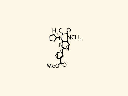 COC(=O)c1cn(-c2ncc3c(n2)N(C2CCCC2)C(C)C(=O)N3C)cn1